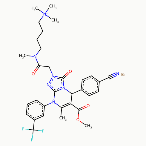 COC(=O)C1=C(C)N(c2cccc(C(F)(F)F)c2)c2nn(CC(=O)N(C)CCCC[N+](C)(C)C)c(=O)n2C1c1ccc(C#N)cc1.[Br-]